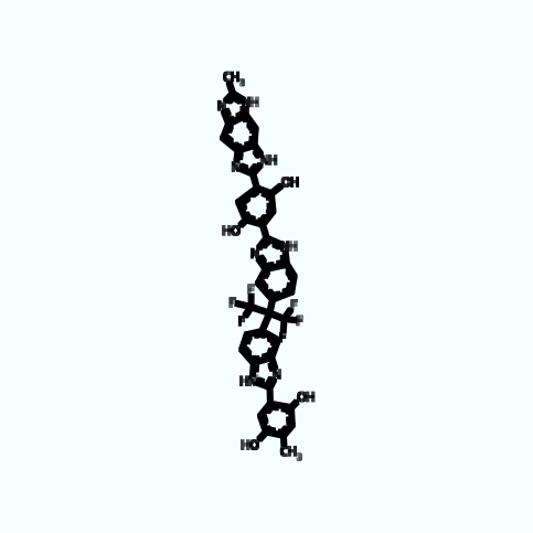 Cc1nc2cc3nc(-c4cc(O)c(-c5nc6cc(C(c7ccc8[nH]c(-c9cc(O)c(C)cc9O)nc8c7)(C(F)(F)F)C(F)(F)F)ccc6[nH]5)cc4O)[nH]c3cc2[nH]1